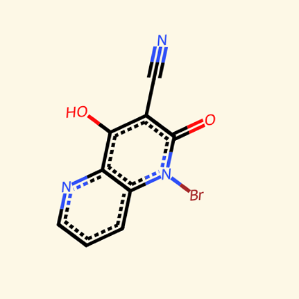 N#Cc1c(O)c2ncccc2n(Br)c1=O